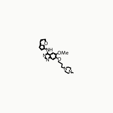 COc1cc2c(Nc3ccc4cccoc3-4)ncnc2cc1OCCCN1CCN(C)CC1